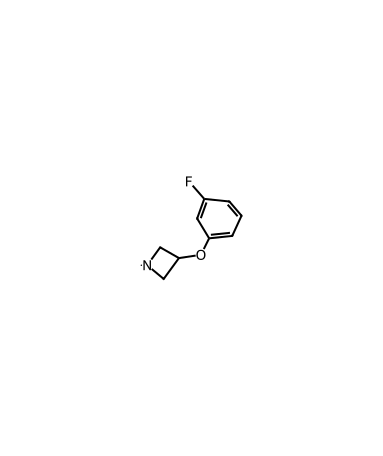 Fc1cccc(OC2C[N]C2)c1